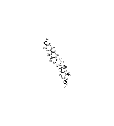 CCOCc1ccc(OC(=O)C2CCC(c3ccc(C4CCC(OC)CC4)c(F)c3F)CC2)cc1F